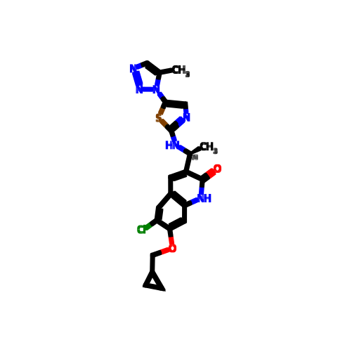 Cc1cnnn1-c1cnc(N[C@@H](C)c2cc3cc(Cl)c(OCC4CC4)cc3[nH]c2=O)s1